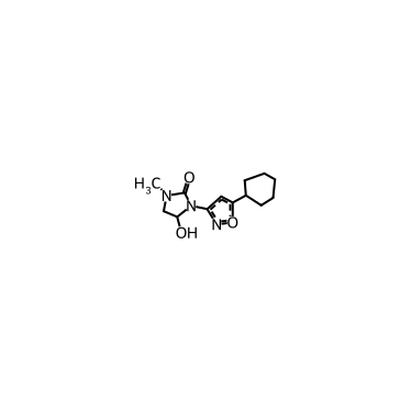 CN1CC(O)N(c2cc(C3CCCCC3)on2)C1=O